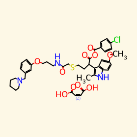 COc1ccc2[nH]c(C)c(C(CCSCC(=O)NCCCOc3cccc(CN4CCCCC4)c3)C(=O)OC(=O)c3ccc(Cl)cc3)c2c1.O=C(O)/C=C\C(=O)O